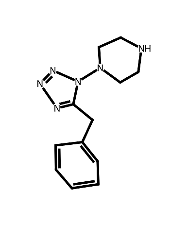 c1ccc(Cc2nnnn2N2CCNCC2)cc1